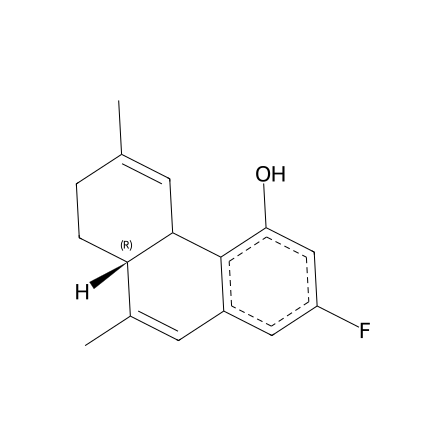 CC1=CC2c3c(O)cc(F)cc3C=C(C)[C@@H]2CC1